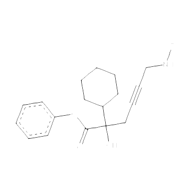 CCNCC#CCC(O)(C(=O)Oc1ccccc1)C1CCCCC1